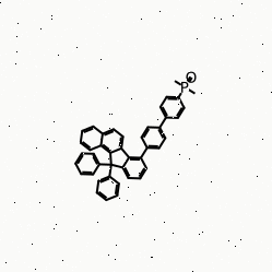 CP(C)(=O)c1ccc(-c2ccc(-c3cccc4c3-c3ccc5ccccc5c3C4(c3ccccc3)c3ccccc3)cc2)cc1